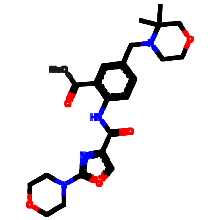 COC(=O)c1cc(CN2CCOCC2(C)C)ccc1NC(=O)c1coc(N2CCOCC2)n1